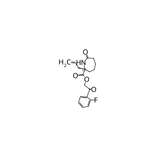 C=CC[C@]1(C(=O)OCC(=O)c2ccccc2F)CCCCC(=O)N1